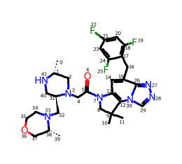 C[C@@H]1CN(CC(=O)N2CC(C)(C)c3c2cc(Cc2c(F)cc(F)cc2F)c2nncn32)[C@@H](CN2CCOC[C@H]2C)CN1